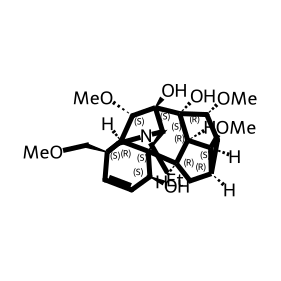 CCN1C[C@]2(COC)C=C[C@H](O)[C@]34C1[C@](O)([C@@H](OC)[C@H]23)[C@]1(O)[C@H]2[C@@H](OC)[C@H](C[C@H]24)C[C@H]1OC